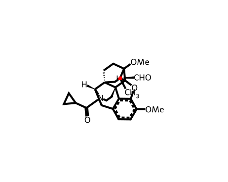 COc1ccc2c3c1O[C@H]1C4(OC)CC[C@@]5(C[C@]4(C)C=O)[C@@H](C2)N(C(=O)C2CC2)CC[C@]315